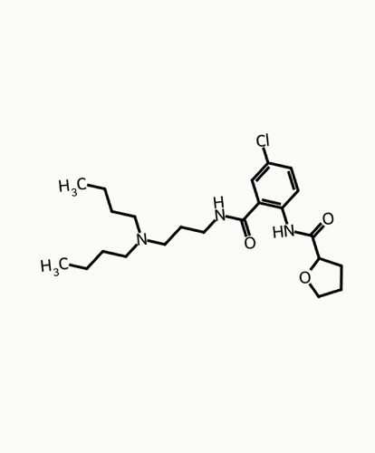 CCCCN(CCCC)CCCNC(=O)c1cc(Cl)ccc1NC(=O)C1CCCO1